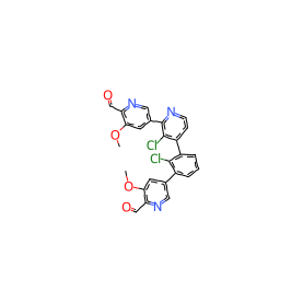 COc1cc(-c2cccc(-c3ccnc(-c4cnc(C=O)c(OC)c4)c3Cl)c2Cl)cnc1C=O